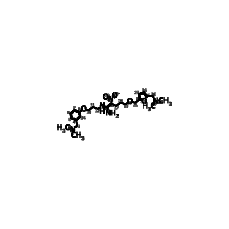 CN(C)Cc1cccc(OCCCNC(N)=C(CCCOCc2ccc(CN(C)C)o2)[N+](=O)[O-])c1